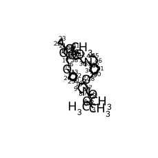 CC(C)(C)OC(=O)N1CC[C@H](c2ccc(OCCCOCC3CC3)cc2)[C@@H](OCc2ccc3c(c2)N(CCCOS(C)(=O)=O)CCC3)C1